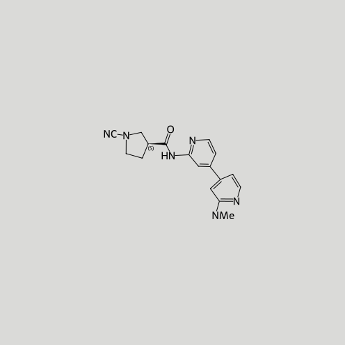 CNc1cc(-c2ccnc(NC(=O)[C@H]3CCN(C#N)C3)c2)ccn1